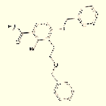 CC(=O)c1ccc(OCc2ccccc2)c(CCOCc2ccccc2)c1Br